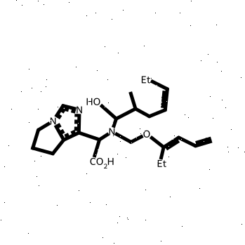 C=C/C=C(\CC)OCN(C(C(=O)O)c1ncn2c1CCC2)C(O)C(C)C/C=C\CC